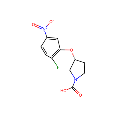 O=C(O)N1CC[C@@H](Oc2cc([N+](=O)[O-])ccc2F)C1